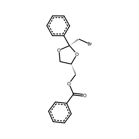 O=C(OC[C@@H]1CO[C@@](CBr)(c2ccccc2)O1)c1ccccc1